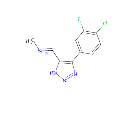 C/N=C/c1[nH]nnc1-c1ccc(Cl)c(F)c1